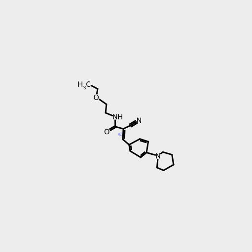 CCOCCNC(=O)/C(C#N)=C/c1ccc(N2CCCCC2)cc1